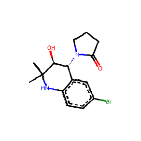 CC1(C)Nc2ccc(Br)cc2[C@@H](N2CCCC2=O)[C@@H]1O